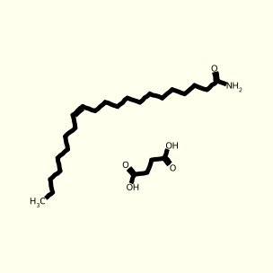 CCCCCCCC/C=C\CCCCCCCCCCCC(N)=O.O=C(O)CCC(=O)O